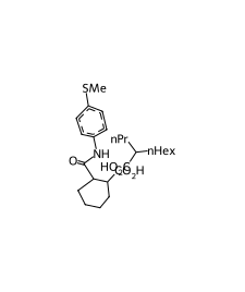 CCCCCCC(CCC)C(=O)O.CSc1ccc(NC(=O)C2CCCCC2C(=O)O)cc1